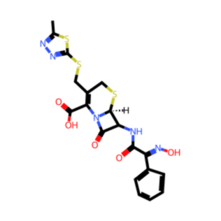 Cc1nnc(SCC2=C(C(=O)O)N3C(=O)C(NC(=O)C(=NO)c4ccccc4)[C@@H]3SC2)s1